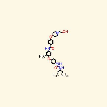 CCC(CC)NC(=O)Nc1ccc(Oc2ccc(NC(=O)c3ccc(OC4CCN(CCO)CC4)cc3)cc2C)cc1